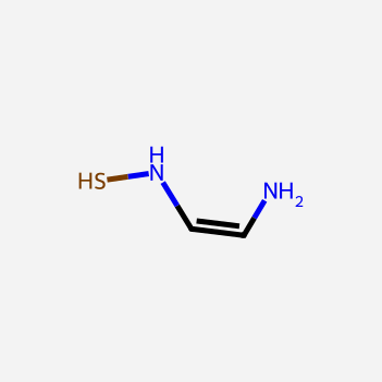 N/C=C\NS